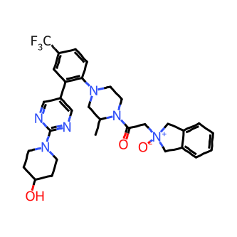 CC1CN(c2ccc(C(F)(F)F)cc2-c2cnc(N3CCC(O)CC3)nc2)CCN1C(=O)C[N+]1([O-])Cc2ccccc2C1